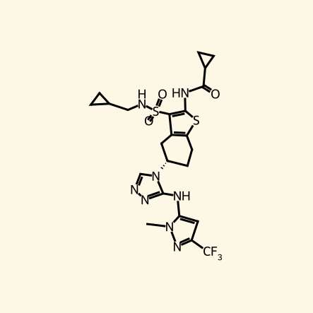 Cn1nc(C(F)(F)F)cc1Nc1nncn1[C@H]1CCc2sc(NC(=O)C3CC3)c(S(=O)(=O)NCC3CC3)c2C1